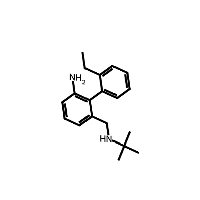 CCc1ccccc1-c1c(N)cccc1CNC(C)(C)C